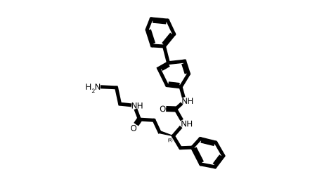 NCCNC(=O)CC[C@H](Cc1ccccc1)NC(=O)Nc1ccc(-c2ccccc2)cc1